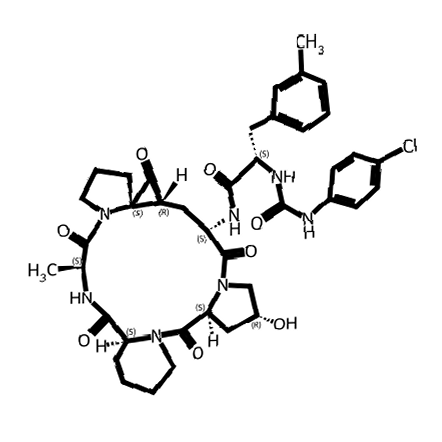 Cc1cccc(C[C@H](NC(=O)Nc2ccc(Cl)cc2)C(=O)N[C@H]2C[C@H]3C(=O)[C@]34CCCN4C(=O)[C@H](C)NC(=O)[C@@H]3CCCCN3C(=O)[C@@H]3C[C@@H](O)CN3C2=O)c1